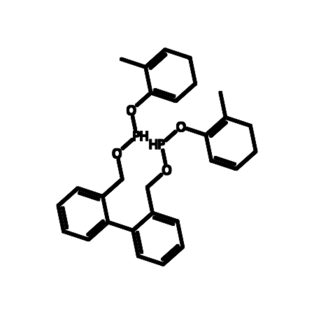 CC1=CCCC=C1OPOCc1ccccc1-c1ccccc1COPOC1=C(C)CCC=C1